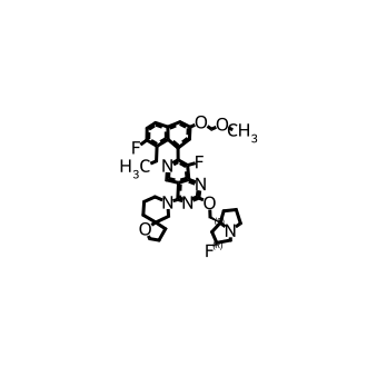 CCc1c(F)ccc2cc(OCOC)cc(-c3ncc4c(N5CCCC6(CCCO6)C5)nc(OC[C@@]56CCCN5C[C@H](F)C6)nc4c3F)c12